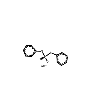 [Mo+].[O-]P(=S)(Oc1ccccc1)Sc1ccccc1